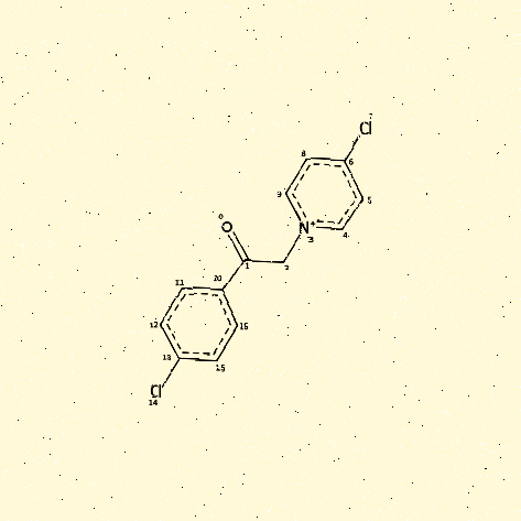 O=C(C[n+]1ccc(Cl)cc1)c1ccc(Cl)cc1